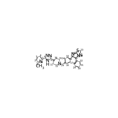 Cc1cccc(-c2nnc(C3CCN(Cc4ccc(-c5nc6scnn6c5-c5ccccc5)cc4)CC3)[nH]2)n1